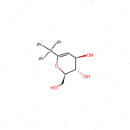 CC(C)[Si](C1=C[C@@H](O)[C@H](O)[C@@H](CO)O1)(C(C)C)C(C)C